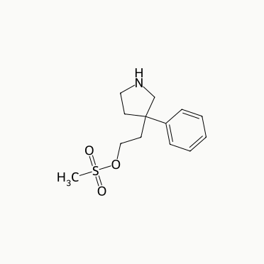 CS(=O)(=O)OCCC1(c2ccccc2)CCNC1